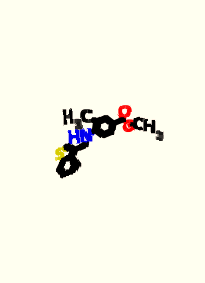 COC(=O)c1ccc(NCc2csc3ccccc23)c(C)c1